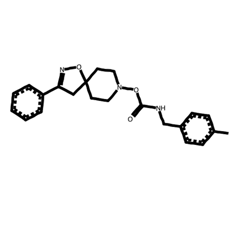 Cc1ccc(CNC(=O)ON2CCC3(CC2)CC(c2ccccc2)=NO3)cc1